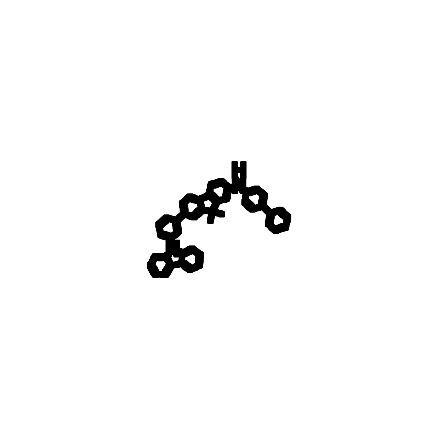 CC1(C)c2cc(Nc3ccc(-c4ccccc4)cc3)ccc2-c2ccc(-c3cccc(-n4c5ccccc5c5ccccc54)c3)cc21